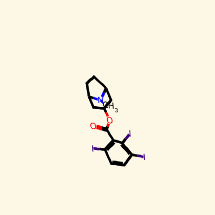 CN1C2CCC1CC(OC(=O)c1c(I)ccc(I)c1I)C2